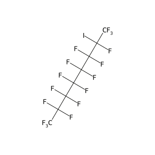 FC(F)(F)C(F)(F)C(F)(F)C(F)(F)C(F)(F)C(F)(F)C(F)(I)C(F)(F)F